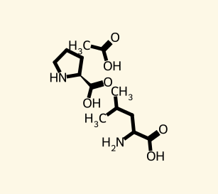 CC(=O)O.CC(C)CC(N)C(=O)O.O=C(O)[C@@H]1CCCN1